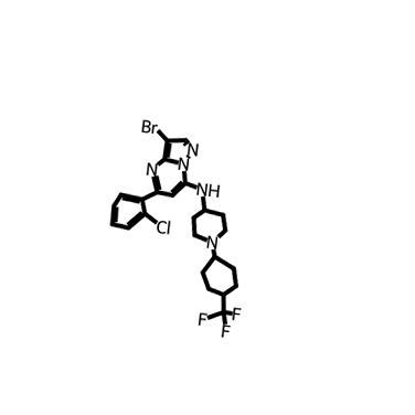 FC(F)(F)C1CCC(N2CCC(Nc3cc(-c4ccccc4Cl)nc4c(Br)cnn34)CC2)CC1